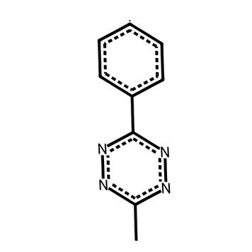 Cc1nnc(-c2cc[c]cc2)nn1